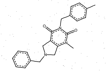 Cc1ccc(Cn2c(=O)c3c(n(C)c2=O)CN(Cc2ccccc2)C3)cc1